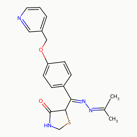 CC(C)=NN=C(c1ccc(OCc2cccnc2)cc1)C1SCNC1=O